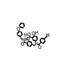 N#Cc1ccc(C(=O)N(Cc2ccc(C(=O)NCc3ccc(Oc4ccccc4)cc3)cc2)c2ccc(O)c(C(=O)O)c2)cc1